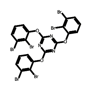 Brc1cccc(Oc2nc(Oc3cccc(Br)c3Br)nc(Oc3cccc(Br)c3Br)n2)c1Br